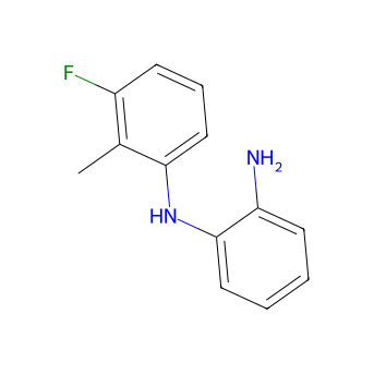 Cc1c(F)cccc1Nc1ccccc1N